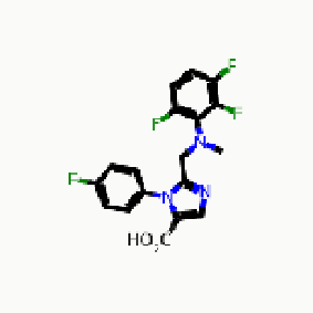 CN(Cc1ncc(C(=O)O)n1-c1ccc(F)cc1)c1c(F)ccc(F)c1F